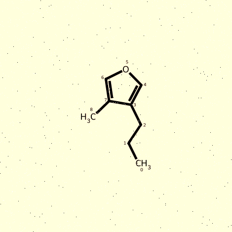 CCCc1[c]occ1C